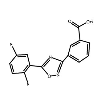 O=C(O)c1cccc(-c2noc(-c3cc(F)ccc3F)n2)c1